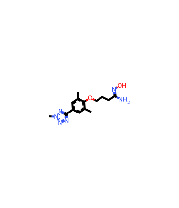 Cc1cc(-c2nnn(C)n2)cc(C)c1OCCCC(N)=NO